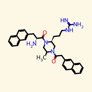 CC1CN(C(=O)[C@H](N)Cc2ccc3ccccc3c2)[C@@H](CCCNC(=N)N)CN1C(=O)Cc1ccc2ccccc2c1